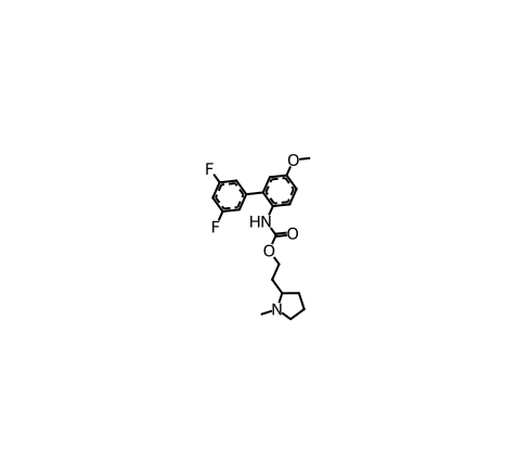 COc1ccc(NC(=O)OCCC2CCCN2C)c(-c2cc(F)cc(F)c2)c1